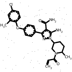 C=CC(=O)N1CC(n2nc(-c3ccc(Oc4ccc(Cl)cc4C)cc3)c(C(N)=O)c2N)CCC1C